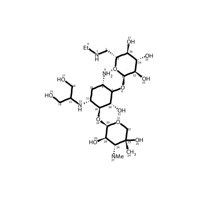 CCNC[C@H]1O[C@H](OC2[C@@H](N)C[C@@H](NC(CO)CO)[C@H](O[C@H]3OC[C@](C)(O)[C@H](NC)[C@H]3O)[C@H]2O)[C@H](O)[C@@H](O)[C@@H]1O